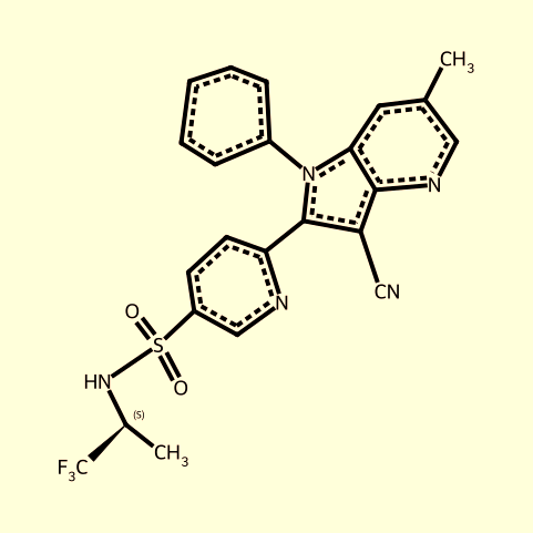 Cc1cnc2c(C#N)c(-c3ccc(S(=O)(=O)N[C@@H](C)C(F)(F)F)cn3)n(-c3ccccc3)c2c1